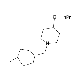 CCCOC1CCN(CC2CCC(C)CC2)CC1